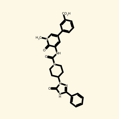 Cn1cc(-c2cccc(C(=O)O)c2)cc(NC(=O)N2CCC(n3nc(-c4ccccc4)[nH]c3=O)CC2)c1=O